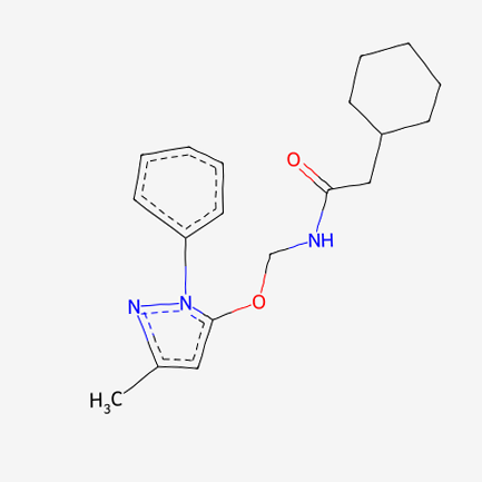 Cc1cc(OCNC(=O)CC2CCCCC2)n(-c2ccccc2)n1